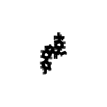 CC[C@@H](Nc1ncnc2c1CN(c1ccc(C)cn1)CC2)c1ccc(C(F)(F)F)nc1